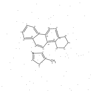 Cc1cncs1.c1ccc2c(c1)ccc1c3c(ccc12)CCCC3